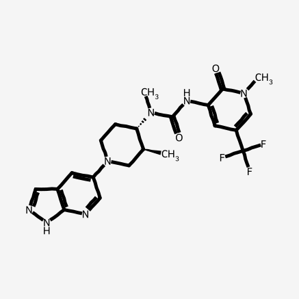 C[C@H]1CN(c2cnc3[nH]ncc3c2)CC[C@@H]1N(C)C(=O)Nc1cc(C(F)(F)F)cn(C)c1=O